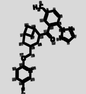 Cc1ccc(-n2nccn2)c(C(=O)C2CC(COc3ccc(F)cn3)CC3CC2C3)c1